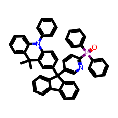 CC1(C)c2ccccc2N(c2ccccc2)c2ccc(C3(c4ccc(P(=O)(c5ccccc5)c5ccccc5)nc4)c4ccccc4-c4ccccc43)cc21